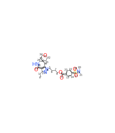 CCc1nn(CCCCOC(=O)c2ccc(S(=O)(=O)N(C)C)cc2)c2c1C(=O)NCC1(CCOCC1)C2